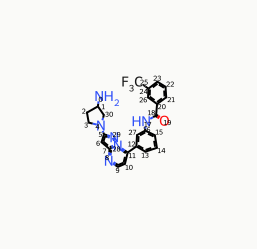 NC1CCN(c2cc3nccc(-c4cccc(NC(=O)c5cccc(C(F)(F)F)c5)c4)n3n2)C1